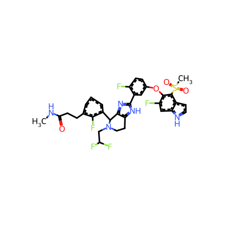 CNC(=O)CCc1cccc(C2c3nc(-c4cc(Oc5c(F)cc6[nH]ccc6c5S(C)(=O)=O)ccc4F)[nH]c3CCN2CC(F)F)c1F